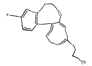 N#CCCc1ccc2c(c1)OCCc1cc(F)ccc1-2